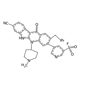 CC(C)Cc1cc2c(=O)c3c4ccc(C#N)cc4[nH]c3n(C3CCN(C)CC3)c2cc1-c1cncc(S(=O)(=O)F)c1